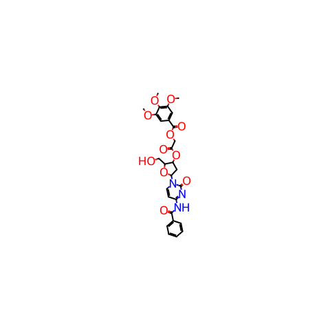 COc1cc(C(=O)OCC(=O)OC2CC(n3ccc(NC(=O)c4ccccc4)nc3=O)OC2CO)cc(OC)c1OC